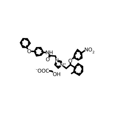 Cc1ccccc1C(C[n+]1ccn(CC(=O)Nc2ccc(Oc3ccccc3)cc2)c1)Oc1ccc([N+](=O)[O-])cc1.O=C([O-])CO